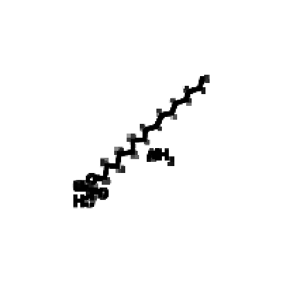 CCCCCCCCCCCCCCCCOS(=O)(=O)O.[AlH3]